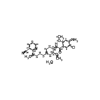 COc1cc(N)c(Cl)cc1C(=O)N[C@@H]1CCN(CCCN(C)c2ncccc2C#N)C[C@@H]1OC.O